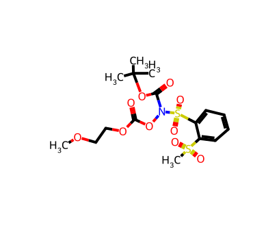 COCCOC(=O)ON(C(=O)OC(C)(C)C)S(=O)(=O)c1ccccc1S(C)(=O)=O